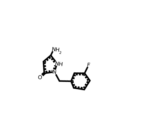 Nc1cc(=O)n(Cc2cccc(F)c2)[nH]1